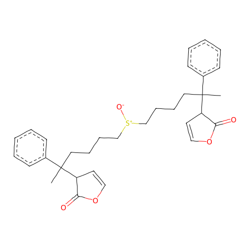 CC(CCCC[S+]([O-])CCCCC(C)(c1ccccc1)C1C=COC1=O)(c1ccccc1)C1C=COC1=O